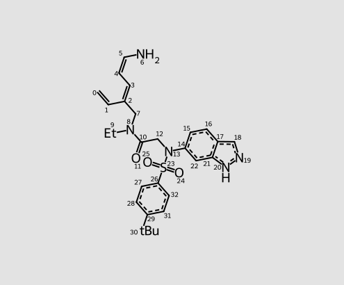 C=C/C(=C\C=C/N)CN(CC)C(=O)CN(c1ccc2cn[nH]c2c1)S(=O)(=O)c1ccc(C(C)(C)C)cc1